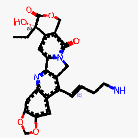 CC[C@@]1(O)C(=O)OCc2c1cc1n(c2=O)Cc2c-1nc1cc3c(cc1c2/C=C/CCNC)OCO3